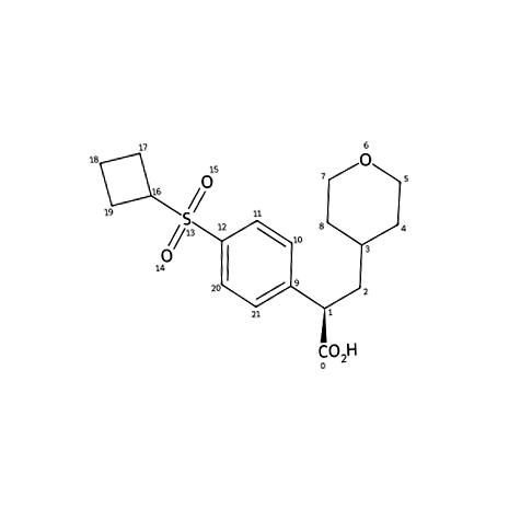 O=C(O)[C@H](CC1CCOCC1)c1ccc(S(=O)(=O)C2CCC2)cc1